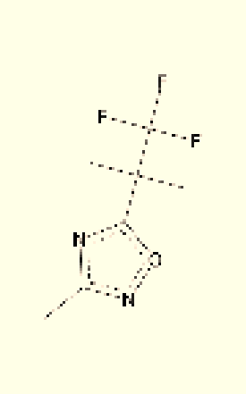 Cc1noc(C(C)(C)C(F)(F)F)n1